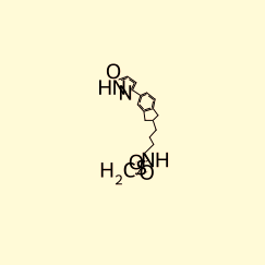 C=CS(=O)(=O)NCCCCC1Cc2ccc(-c3ccc(=O)[nH]n3)cc2C1